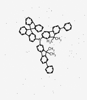 CC1(C)c2cc(-c3ccccc3)ccc2-c2ccc(N(c3ccc4c(c3)C(C)(C)c3cc(-c5ccccc5)ccc3-4)c3ccc4c(c3)C3(c5ccccc5-c5ccccc53)c3ccccc3-4)cc21